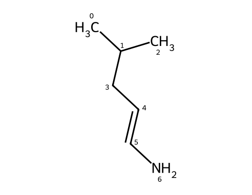 CC(C)C/C=C/N